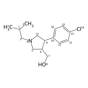 C[C](C)CN1CC(CO)C(c2ccc(Cl)cc2)C1